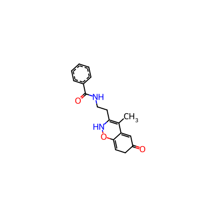 CC1=C(CCNC(=O)c2ccccc2)NOC2=CCC(=O)C=C21